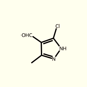 Cc1n[nH]c(Cl)c1[C]=O